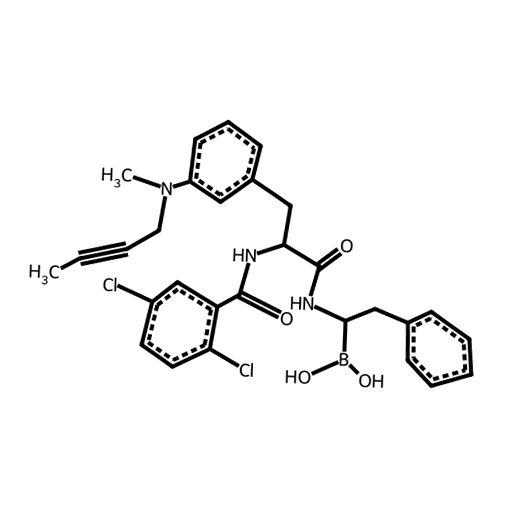 CC#CCN(C)c1cccc(CC(NC(=O)c2cc(Cl)ccc2Cl)C(=O)NC(Cc2ccccc2)B(O)O)c1